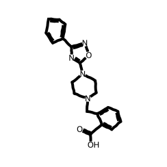 O=C(O)c1ccccc1CN1CCN(c2nc(-c3ccccc3)no2)CC1